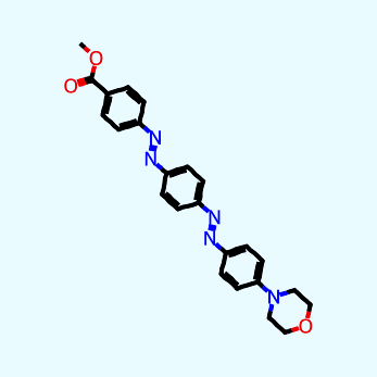 COC(=O)c1ccc(N=Nc2ccc(N=Nc3ccc(N4CCOCC4)cc3)cc2)cc1